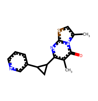 Cc1c(C2CC2c2cccnc2)nc2scc(C)n2c1=O